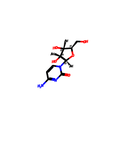 CC(=O)[C@@]1(O)[C@@](O)(C(C)=O)[C@@H](CO)O[C@@]1(C(C)=O)n1ccc(N)nc1=O